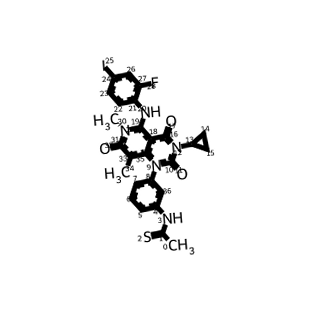 CC(=S)Nc1cccc(-n2c(=O)n(C3CC3)c(=O)c3c(Nc4ccc(I)cc4F)n(C)c(=O)c(C)c32)c1